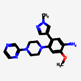 COc1cc(N2CCN(c3cnccn3)CC2)c(-c2cnn(C)c2)cc1N